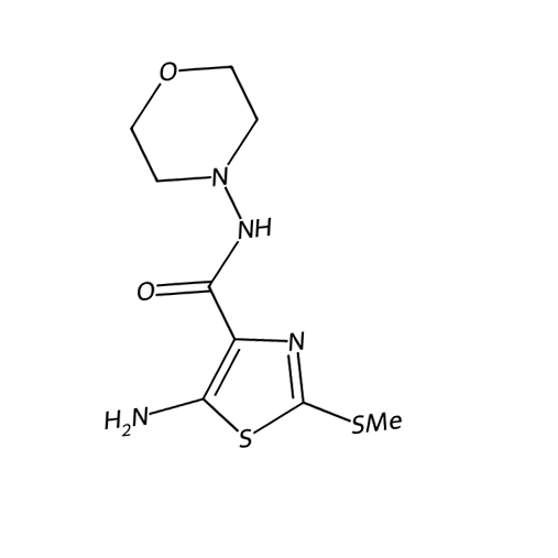 CSc1nc(C(=O)NN2CCOCC2)c(N)s1